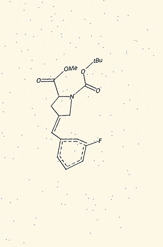 COC(=O)C1CC(=Cc2cccc(F)c2)CN1C(=O)OC(C)(C)C